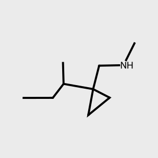 CCC(C)C1(CNC)CC1